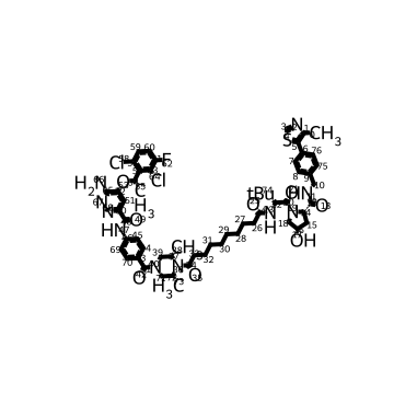 Cc1ncsc1-c1ccc(CNC(=O)[C@@H]2C[C@@H](O)CN2C(=O)C(NC(=O)CCCCCCCCC(=O)N2[C@H](C)CN(C(=O)c3ccc(NC(=O)c4cc(OC(C)c5c(Cl)ccc(F)c5Cl)c(N)nn4)cc3)C[C@@H]2C)C(C)(C)C)cc1